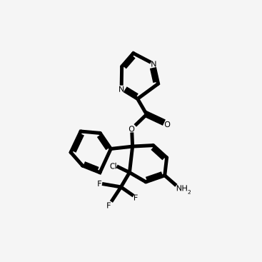 NC1=CC(Cl)(C(F)(F)F)C(OC(=O)c2cnccn2)(c2ccccc2)C=C1